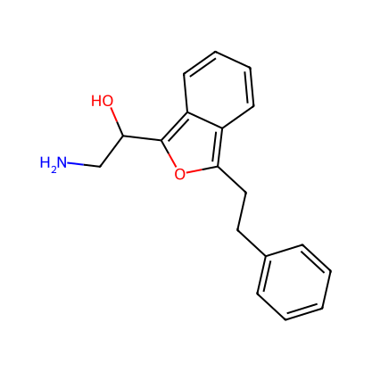 NCC(O)c1oc(CCc2ccccc2)c2ccccc12